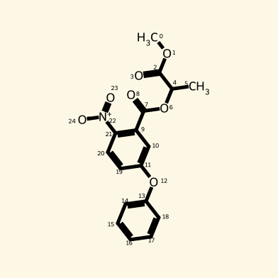 COC(=O)C(C)OC(=O)c1cc(Oc2ccccc2)ccc1[N+](=O)[O-]